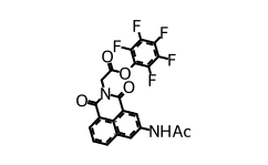 CC(=O)Nc1cc2c3c(cccc3c1)C(=O)N(CC(=O)Oc1c(F)c(F)c(F)c(F)c1F)C2=O